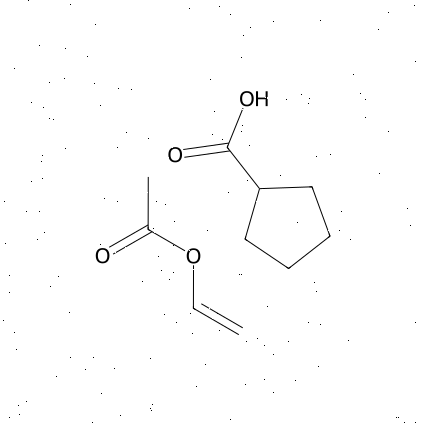 C=COC(C)=O.O=C(O)C1CCCC1